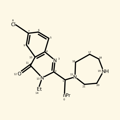 CCCC(c1nc2ccc(Cl)cc2c(=O)n1CC)N1CCCNCC1